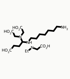 NCCCCCCCNC(CCC(=O)O)N(CC(=O)O)CC(=O)O.[CH2]C[N]CC(=O)O